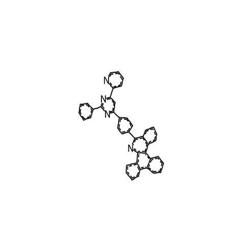 c1ccc(-c2nc(-c3ccc(-c4nc5c6ccccc6c6ccccc6c5c5ccccc45)cc3)cc(-c3ccccn3)n2)cc1